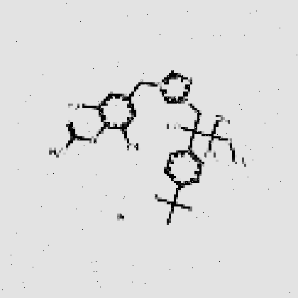 CSC(C)(C)C(O)(Cn1c[n+](Cc2cc(C)c(OC(C)=O)c(C)c2)cn1)c1ccc(C(F)(F)F)cc1.[Br-]